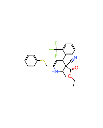 CCOC(=O)C1(C#N)C(C)NC(CSc2ccccc2)=CC1c1ccccc1C(F)(F)F